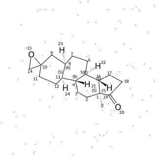 C[C@]12CC[C@H]3[C@@H](CC[C@@H]4CC5(CC[C@@H]43)CO5)[C@@H]1CCC2=O